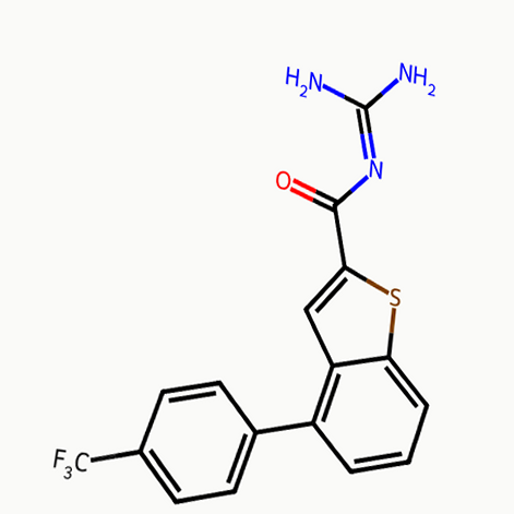 NC(N)=NC(=O)c1cc2c(-c3ccc(C(F)(F)F)cc3)cccc2s1